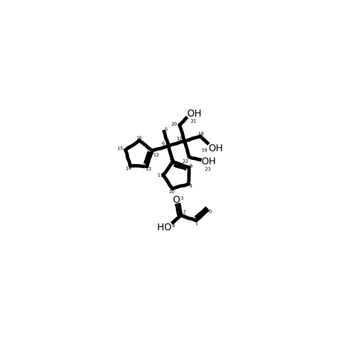 C=CC(=O)O.CC(C1=CCCC1)(C1=CCCC1)C(CO)(CO)CO